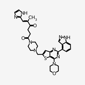 CC(=Cc1ncc[nH]1)C(=O)CCC(=O)N1CCN(Cc2cc3nc(-c4cccc5[nH]ncc45)nc(N4CCOCC4)c3s2)CC1